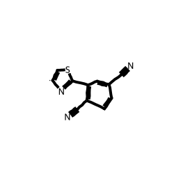 N#Cc1ccc(C#N)c(-c2n[c]cs2)c1